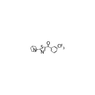 O=C(c1cccc(C(F)(F)F)c1)c1cnc(N2CC3CCC2CC3)s1